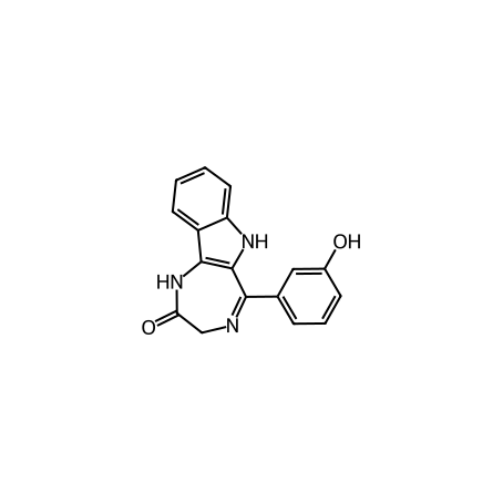 O=C1CN=C(c2cccc(O)c2)c2[nH]c3ccccc3c2N1